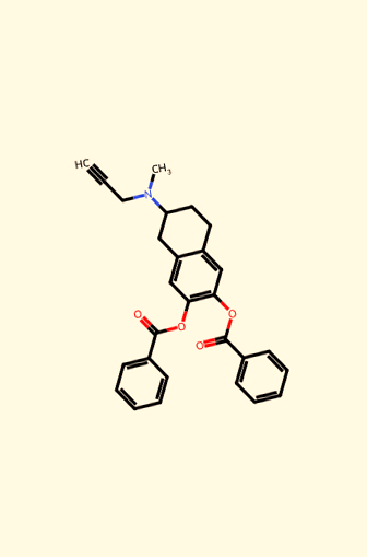 C#CCN(C)C1CCc2cc(OC(=O)c3ccccc3)c(OC(=O)c3ccccc3)cc2C1